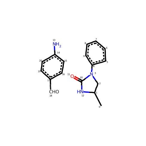 CC1CN(c2ccccc2)C(=O)N1.Nc1ccc(C=O)cc1